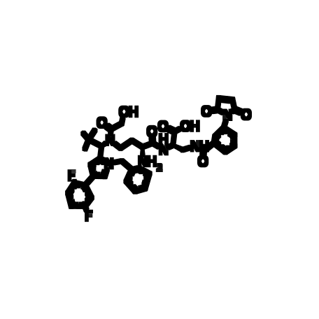 CC(C)(C)[C@H](c1cc(-c2cc(F)ccc2F)cn1Cc1ccccc1)N(CC[C@H](N)C(=O)N[C@H](CNC(=O)c1cccc(N2C(=O)C=CC2=O)c1)C(=O)O)C(=O)CO